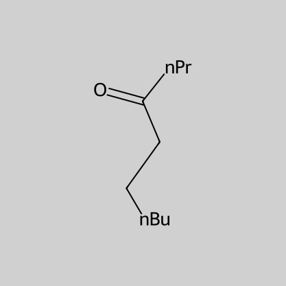 [CH2]CCCCCC(=O)CC[CH2]